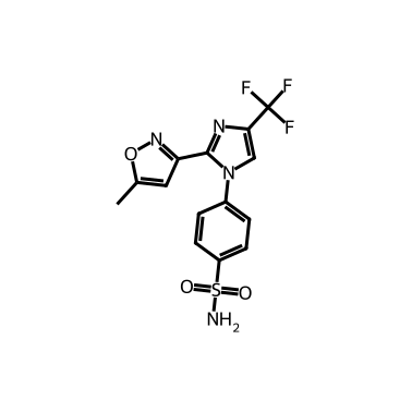 Cc1cc(-c2nc(C(F)(F)F)cn2-c2ccc(S(N)(=O)=O)cc2)no1